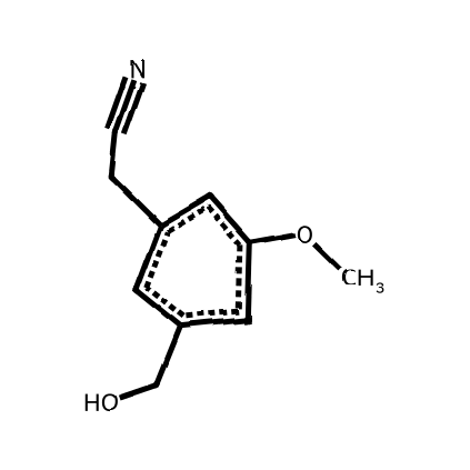 COc1cc(CO)cc(CC#N)c1